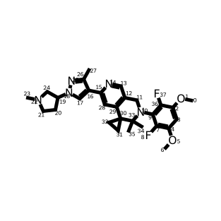 COc1cc(OC)c(F)c(N2Cc3cnc(-c4cn(C5CCN(C)C5)nc4C)cc3C3(CC3)C2(C)C)c1F